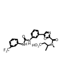 CC(CC(=O)O)N(C)C(=O)c1ncc(-c2cccc(NC(=O)Nc3cccc(C(F)(F)F)c3)c2)o1